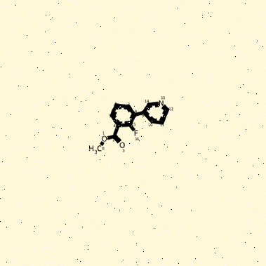 COC(=O)c1cccc(-c2cccnc2)c1F